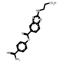 N=C(N)c1ccc(OC(=O)c2ccc3nc(NCCC(=O)O)sc3c2)cc1